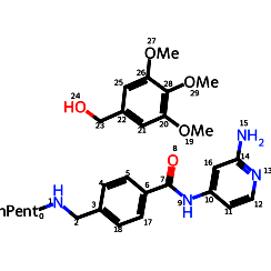 CCCCCNCc1ccc(C(=O)Nc2ccnc(N)c2)cc1.COc1cc(CO)cc(OC)c1OC